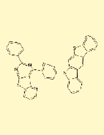 c1ccc(-c2nc(-c3ccc(-n4c5ccccc5c5cc6c(cc54)sc4ccccc46)cc3)c3c(n2)sc2ccccc23)cc1